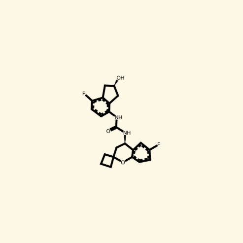 O=C(Nc1ccc(F)c2c1C[C@H](O)C2)N[C@@H]1CC2(CCC2)Oc2ccc(F)cc21